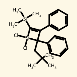 CC(C)(C)CC1(c2ccccc2)C(c2ccccc2)=C([Si](C)(C)C)[Si]1(Cl)Cl